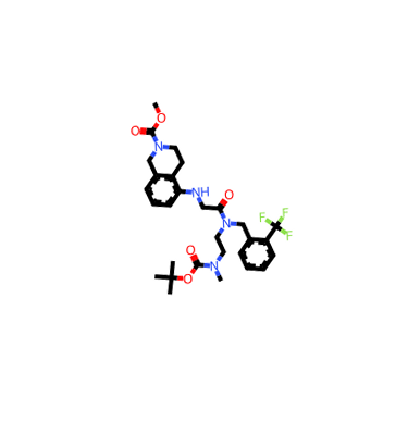 COC(=O)N1CCc2c(cccc2NCC(=O)N(CCN(C)C(=O)OC(C)(C)C)Cc2ccccc2C(F)(F)F)C1